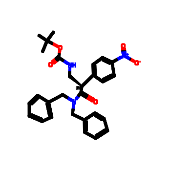 CC(C)(C)OC(=O)NC[C@H](C(=O)N(Cc1ccccc1)Cc1ccccc1)c1ccc([N+](=O)[O-])cc1